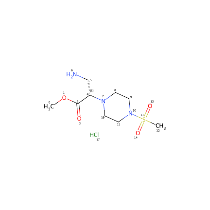 COC(=O)[C@H](CN)N1CCN(S(C)(=O)=O)CC1.Cl